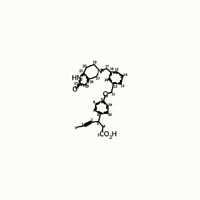 CC#CC(CC(=O)O)c1ccc(OCc2cccc(CN3CCc4[nH]c(=O)sc4C3)c2)cc1